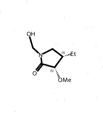 CC[C@H]1CN(CO)C(=O)[C@H]1OC